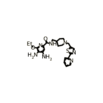 CCOc1nc(C(=O)NCC2CCN(Cc3cnc(-c4ccccn4)s3)CC2)cc(N)c1N